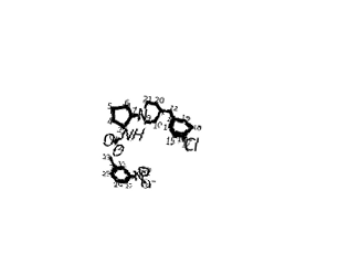 O=C(NC1CCCC1N1CCC(Cc2ccc(Cl)cc2)CC1)OCc1cccc([N+](=O)[O-])c1